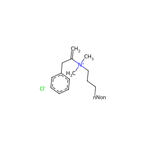 C=C(Cc1ccccc1)[N+](C)(C)CCCCCCCCCCCC.[Cl-]